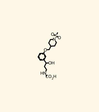 CS(=O)(=O)N1CCC(COc2cccc(C(O)CCNC(=O)O)c2)CC1